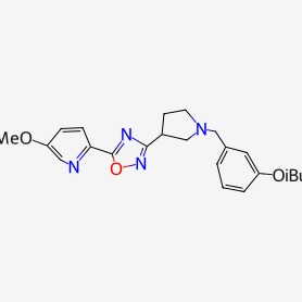 COc1ccc(-c2nc(C3CCN(Cc4cccc(OCC(C)C)c4)C3)no2)nc1